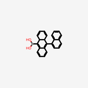 OB(O)C1=c2ccccc2=C(c2cccc3ccccc23)C2C=CC=CC12